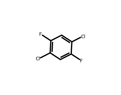 Fc1cc(Cl)c(F)cc1Cl